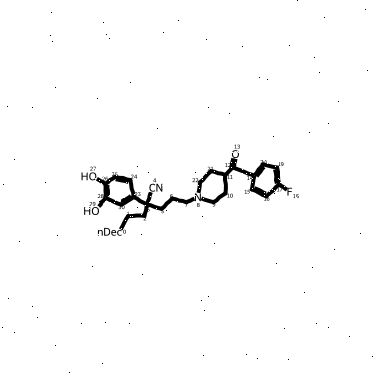 CCCCCCCCCCCCC(C#N)(CCCN1CCC(C(=O)c2ccc(F)cc2)CC1)c1ccc(O)c(O)c1